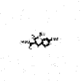 COC(=O)C(Cc1ccc(OC)cc1)C(=O)OC(C)(C)C